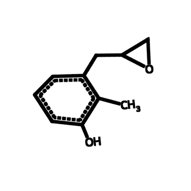 Cc1c(O)cccc1CC1CO1